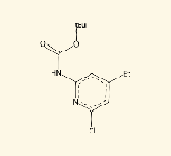 CCc1cc(Cl)nc(NC(=O)OC(C)(C)C)c1